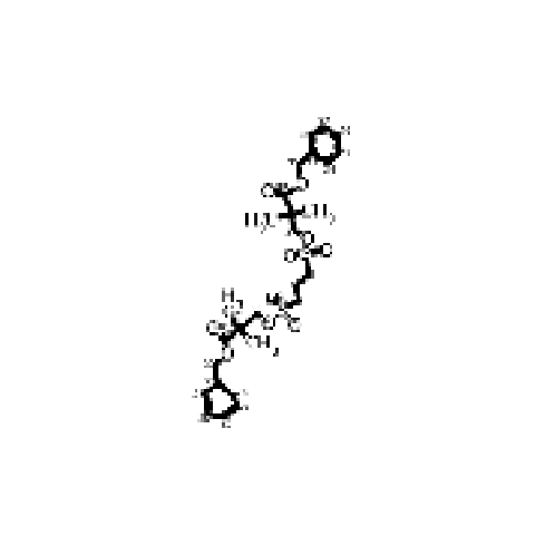 CC(C)(COS(=O)(=O)CCCS(=O)(=O)OCC(C)(C)C(=O)OCC1C=CC=CC1)C(=O)OCc1ccccc1